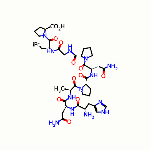 CC(C)C[C@H](NC(=O)CNC(=O)[C@@H]1CCCN1C(=O)[C@H](CC(N)=O)NC(=O)[C@@H]1CCCN1C(=O)[C@H](C)NC(=O)[C@H](CC(N)=O)NC(=O)[C@@H](N)Cc1c[nH]cn1)C(=O)N1CCC[C@H]1C(=O)O